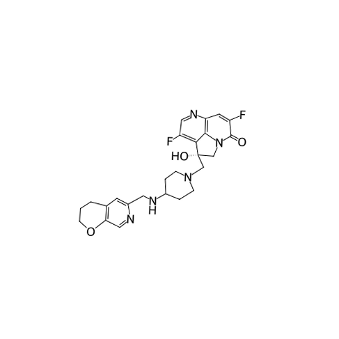 O=c1c(F)cc2ncc(F)c3c2n1C[C@@]3(O)CN1CCC(NCc2cc3c(cn2)OCCC3)CC1